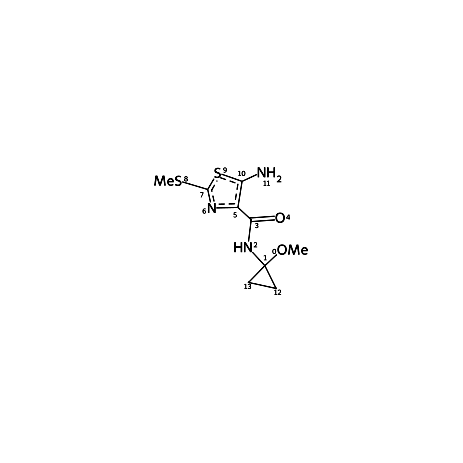 COC1(NC(=O)c2nc(SC)sc2N)CC1